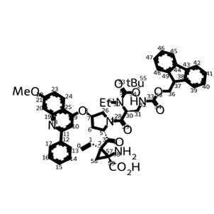 C=C[C@@]1(C(=O)[C@@H]2C[C@@H](Oc3cc(-c4ccccc4)nc4cc(OC)ccc34)CN2C(=O)[C@H](CNC(=O)OCC2c3ccccc3-c3ccccc32)N(CC)C(=O)OC(C)(C)C)C[C@]1(N)C(=O)O